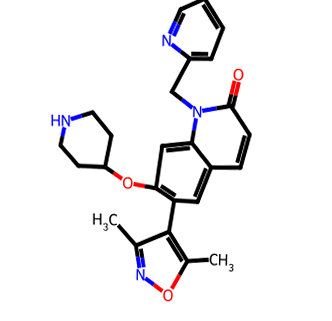 Cc1noc(C)c1-c1cc2ccc(=O)n(Cc3ccccn3)c2cc1OC1CCNCC1